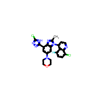 Cc1nc2c(-c3nnc(Cl)[nH]3)cc(N3CCOCC3)cc2n1-c1ccnc2c(Cl)ccc(F)c12